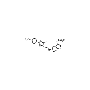 Cc1nn(-c2ccc(C(F)(F)F)cc2)nc1CCOc1ccc2scc(CC(=O)O)c2c1